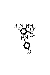 COC(=O)c1c(NCc2ccc(OC)cc2)ccc(N)c1N